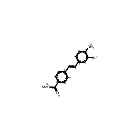 [C-]#[N+]c1cc(C=Cc2ccc(C(=O)OC)cc2)ccc1N